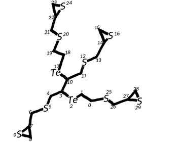 C(C[Te]C(CSCC1CS1)C(CSCC1CS1)[Te]CCSCC1CS1)SCC1CS1